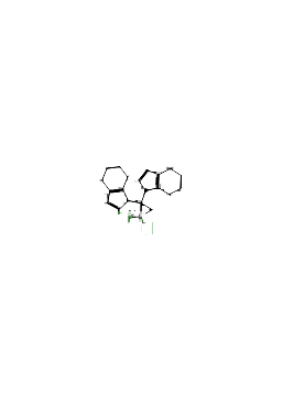 [Cl][Zr]1([Cl])[CH2][C]1(C1C=CC2=C1CCCC2)C1C=CC2=C1CCCC2